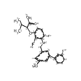 CC(C)C(Oc1ccc(F)c(NCc2cc(O)cc(-c3cccc(F)c3)c2)c1F)C(=O)O